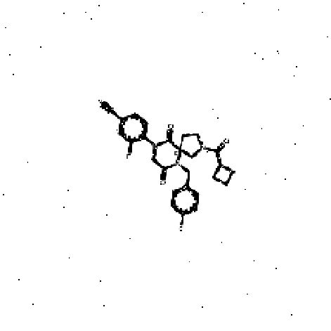 N#Cc1ccc(N2CC(=O)N(Cc3ccc(Cl)cc3)[C@]3(CCN(C(=O)C4CCC4)C3)C2=O)c(F)c1